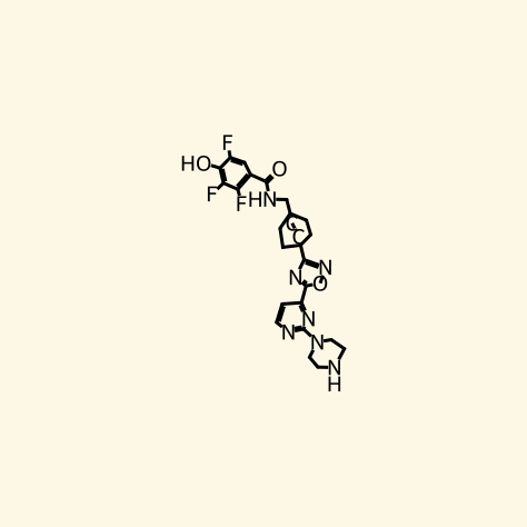 O=C(NCC12CCC(c3noc(-c4ccnc(N5CCNCC5)n4)n3)(CC1)CC2)c1cc(F)c(O)c(F)c1F